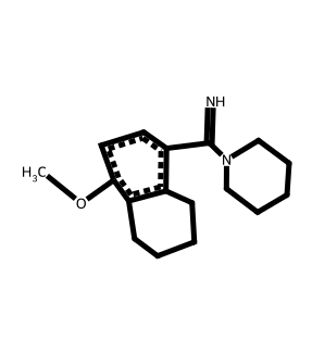 COc1ccc(C(=N)N2CCCCC2)c2c1CCCC2